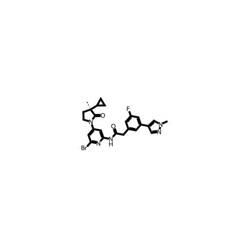 Cn1cc(-c2cc(F)cc(CC(=O)Nc3cc(N4CC[C@@](C)(C5CC5)C4=O)cc(Br)n3)c2)cn1